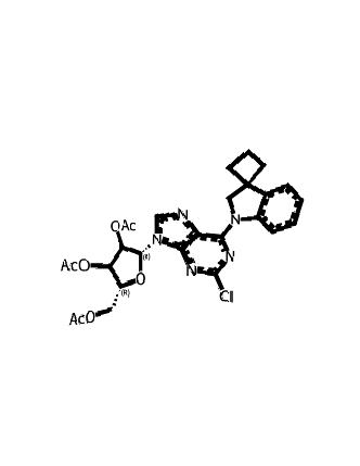 CC(=O)OC[C@H]1O[C@@H](n2cnc3c(N4CC5(CCC5)c5ccccc54)nc(Cl)nc32)C(OC(C)=O)C1OC(C)=O